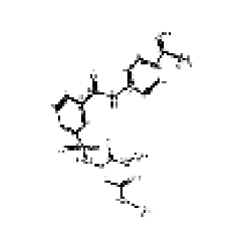 CC(C)(C)OC(=O)C[C@H](NS(=O)(=O)c1cccc(C(=O)Nc2ccc(C(=N)N)cc2)c1)C(=O)OC(C)(C)C